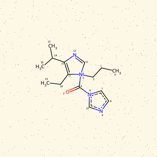 CCC[N+]1(C(=O)n2ccnc2)C=NC(C(C)C)=C1CC